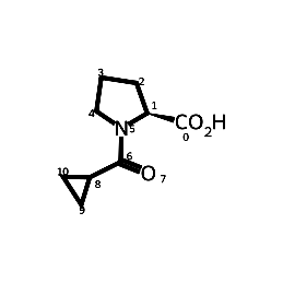 O=C(O)[C@@H]1CCCN1C(=O)C1CC1